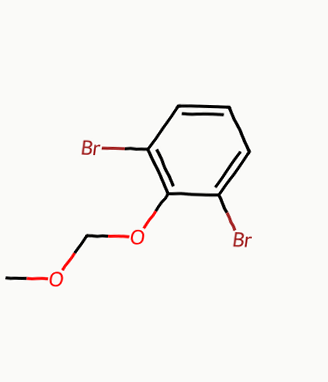 COCOc1c(Br)cccc1Br